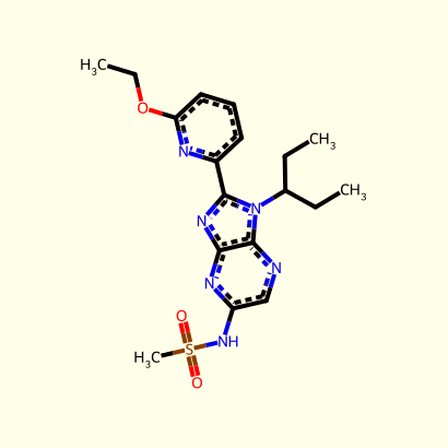 CCOc1cccc(-c2nc3nc(NS(C)(=O)=O)cnc3n2C(CC)CC)n1